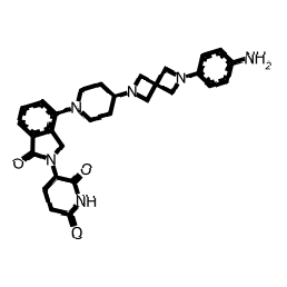 Nc1ccc(N2CC3(C2)CN(C2CCN(c4cccc5c4CN(C4CCC(=O)NC4=O)C5=O)CC2)C3)cc1